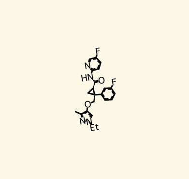 CCn1cc(OC[C@@]2(c3cccc(F)c3)C[C@H]2C(=O)Nc2ccc(F)cn2)c(C)n1